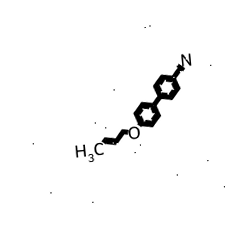 C/C=C/COc1ccc(-c2ccc(C#N)cc2)cc1